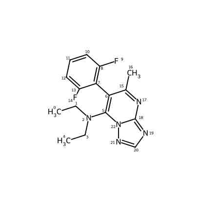 CCN(CC)c1c(-c2c(F)cccc2F)c(C)nc2ncnn12